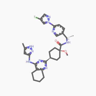 CO[C@]1(C(=O)N[C@@H](C)c2ccc(-n3cc(F)cn3)nc2)CC[C@H](c2nc3c(c(Nc4cc(C)[nH]n4)n2)CCCC3)CC1